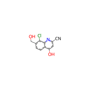 N#Cc1cc(O)c2ccc(CO)c(Cl)c2n1